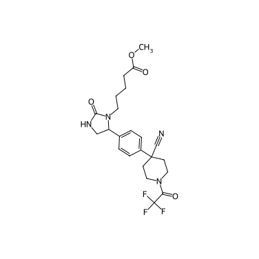 COC(=O)CCCCN1C(=O)NCC1c1ccc(C2(C#N)CCN(C(=O)C(F)(F)F)CC2)cc1